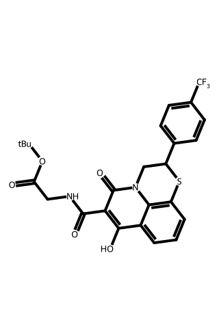 CC(C)(C)OC(=O)CNC(=O)c1c(O)c2cccc3c2n(c1=O)CC(c1ccc(C(F)(F)F)cc1)S3